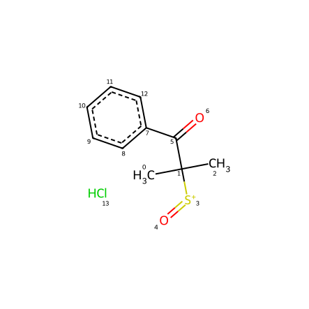 CC(C)([S+]=O)C(=O)c1ccccc1.Cl